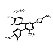 COc1ccc(-c2c(C(=O)O)cc(N3CC(N)C3)nc2-c2ccc(C#N)c(F)c2)cc1F.O=NO